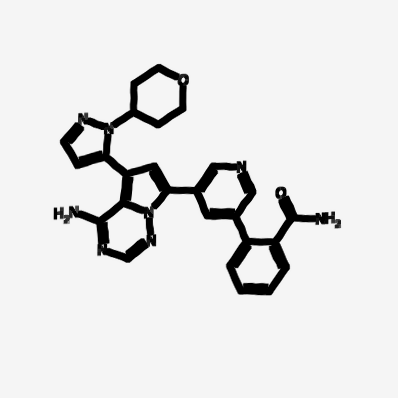 NC(=O)c1ccccc1-c1cncc(-c2cc(-c3ccnn3C3CCOCC3)c3c(N)ncnn23)c1